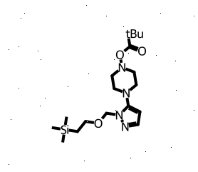 CC(C)(C)C(=O)ON1CCN(c2ccnn2COCC[Si](C)(C)C)CC1